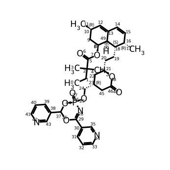 CCC(C)(C)C(=O)O[C@H]1C[C@@H](C)C=C2C=C[C@H](C)[C@H](CC[C@H]3C[C@@H](COP4(=O)N=C(c5cccnc5)OC(c5cccnc5)O4)CC(=O)O3)[C@H]21